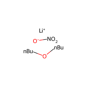 CCCCOCCCC.O=[N+]([O-])[O-].[Li+]